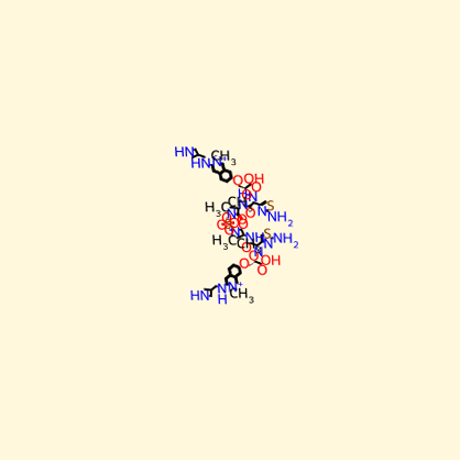 C[n+]1cc2cc(OC[C@H](O/N=C(\C(=O)N[C@@H]3C(=O)N(OS(=O)(=O)ON4C(=O)[C@@H](NC(=O)/C(=N\O[C@@H](COc5ccc6cc(NCC7CNC7)[n+](C)cc6c5)C(=O)O)c5csc(N)n5)C4(C)C)C3(C)C)c3csc(N)n3)C(=O)O)ccc2cc1NCC1CNC1